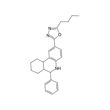 CCCCc1nnc(-c2ccc3c(c2)C2CCCCC2C(c2ccccc2)N3)o1